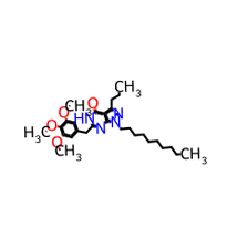 CCCCCCCCCCn1nc(CCC)c2c(=O)[nH]c(Cc3cc(OC)c(OC)c(OC)c3)nc21